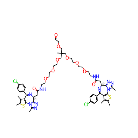 Cc1sc2c(c1C)C(c1ccc(Cl)cc1)=N[C@@H](CC(=O)NCCOCCOCCOCC(C)(COCC=O)COCCOCCOCCNC(=O)C[C@@H]1N=C(c3ccc(Cl)cc3)c3c(sc(C)c3C)-n3c(C)nnc31)c1nnc(C)n1-2